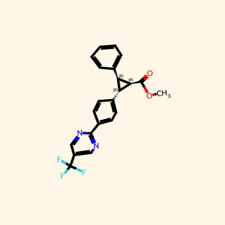 COC(=O)[C@@H]1[C@H](c2ccccc2)[C@H]1c1ccc(-c2ncc(C(F)(F)F)cn2)cc1